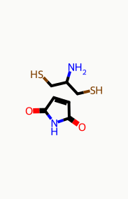 NC(CS)CS.O=C1C=CC(=O)N1